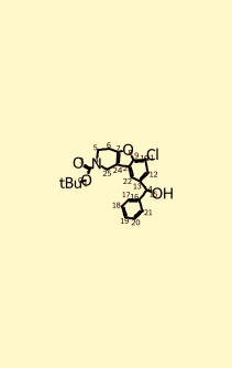 CC(C)(C)OC(=O)N1CCc2oc3c(Cl)cc(C(O)c4ccccc4)cc3c2C1